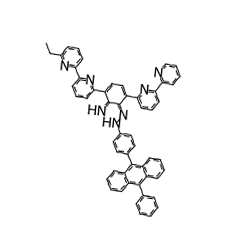 CCc1cccc(-c2cccc(C3=CC=C(c4cccc(-c5ccccn5)n4)/C(=N/Nc4ccc(-c5c6ccccc6c(-c6ccccc6)c6ccccc56)cc4)C3=N)n2)n1